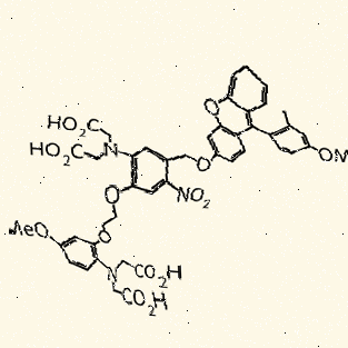 COc1ccc(C2=C3C=CCC=C3Oc3cc(OCc4cc(N(CC(=O)O)CC(=O)O)c(OCCOc5cc(OC)ccc5N(CC(=O)O)CC(=O)O)cc4[N+](=O)[O-])ccc32)c(C)c1